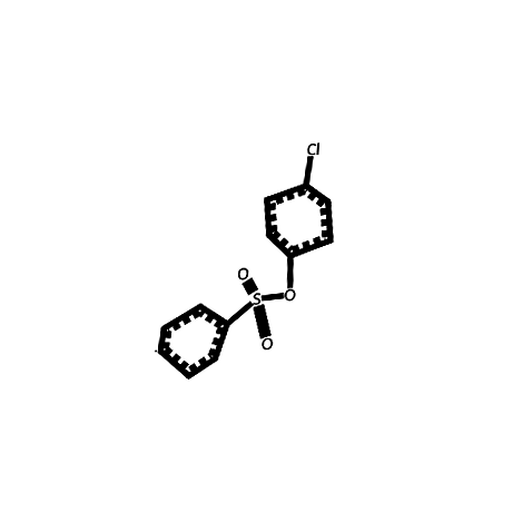 O=S(=O)(Oc1ccc(Cl)cc1)c1cc[c]cc1